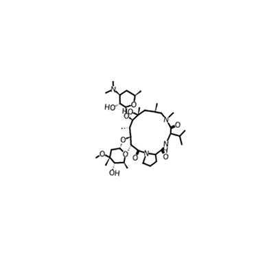 CO[C@]1(C)C[C@H](O[C@H]2[C@H](C)[C@@H](O[C@@H]3O[C@H](C)C[C@H](N(C)C)[C@H]3O)[C@](C)(O)C[C@@H](C)CN(C)C(=O)C(C(C)C)NC(=O)C3CCCN3C(=O)[C@@H]2C)O[C@@H](C)[C@@H]1O